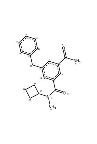 CN(C(=O)c1cc(C(N)=O)cc(Cc2ccccc2)n1)C1CCC1